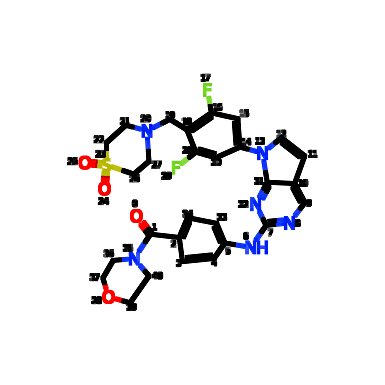 O=C(c1ccc(Nc2ncc3ccn(-c4cc(F)c(CN5CCS(=O)(=O)CC5)c(F)c4)c3n2)cc1)N1CCOCC1